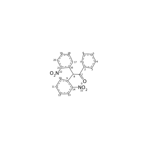 O=C(c1ccccc1)C(c1ccccc1[N+](=O)[O-])c1ccccc1[N+](=O)[O-]